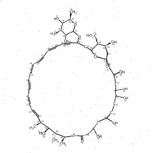 C[C@@H]1OC(=O)CC(O)CC(O)CCC(O)C(O)CC(O)CC2(O)C[C@H](O)C(C(=O)O)C(CC(OC3O[C@H](C)C(O)[C@H](N)C3O)/C=C/C=C/C=C/C=C/C=C/C=C/C=C/[C@H](C)C(O)[C@H]1C)O2